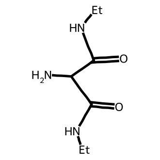 CCNC(=O)C(N)C(=O)NCC